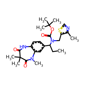 CCC(c1ccc2c(c1)N(C)C(=O)C(C)(C)C(=O)N2)N(Cc1scnc1C)C(=O)OC(C)(C)C